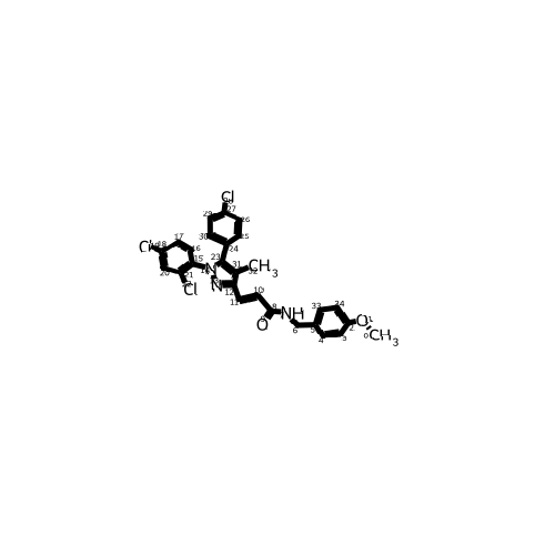 COc1ccc(CNC(=O)/C=C/c2nn(-c3ccc(Cl)cc3Cl)c(-c3ccc(Cl)cc3)c2C)cc1